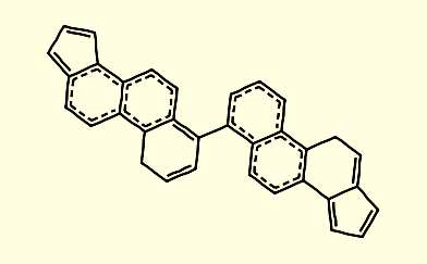 C1=CC2=CCc3c(ccc4c(C5=c6ccc7c8c(ccc7c6CC=C5)=CC=C8)cccc34)C2=C1